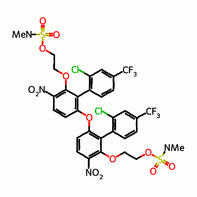 CNS(=O)(=O)OCCOc1c([N+](=O)[O-])ccc(Oc2ccc([N+](=O)[O-])c(OCCOS(=O)(=O)NC)c2-c2ccc(C(F)(F)F)cc2Cl)c1-c1ccc(C(F)(F)F)cc1Cl